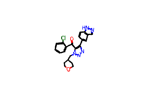 O=C(c1ccccc1Cl)c1c(-c2ccc3[nH]ncc3c2)nnn1CC1CCOCC1